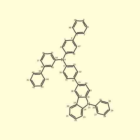 c1ccc(-c2ccc(N(c3ccc(-c4ccc5c(c4)c4ccccc4n5-c4ccccc4)cc3)c3cccc(-c4ccccc4)c3)cc2)cc1